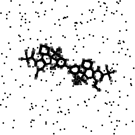 [H]/N=N/C1=C(NC(=O)C(F)(F)F)c2ccccc2C(c2ccc(-c3ccc(C4(S(=O)(=O)O)CC(/N=N/[H])=C(NC(=O)C(F)(F)F)c5ccccc54)c(Cl)c3)cc2Cl)(S(=O)(=O)O)C1